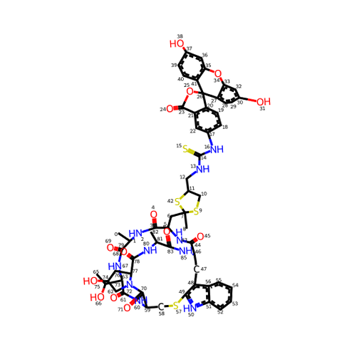 CC1NC(=O)C(CC2(C)SCC(CNC(=S)Nc3ccc4c(c3)C(=O)OC43c4ccc(O)cc4Oc4cc(O)ccc43)S2)NC(=O)C2Cc3c([nH]c4ccccc34)SCC(NC(=O)C(C(C)O)NC1=O)C(=O)N1CC(O)CC1C(=O)NC(C)C(=O)N2